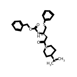 CN(C)C1CCN(C(=O)C[C@H](CSc2ccccc2)NC(=O)OCc2ccccc2)CC1